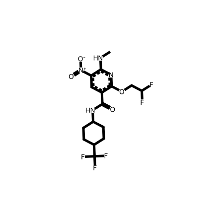 CNc1nc(OCC(F)F)c(C(=O)NC2CCC(C(F)(F)F)CC2)cc1[N+](=O)[O-]